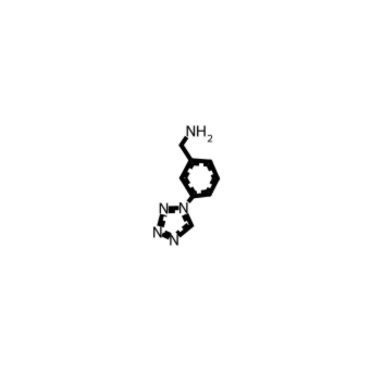 NCc1cccc(-n2cnnn2)c1